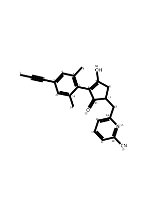 CC#Cc1cc(C)c(C2=C(O)CC(Cc3cccc(C#N)n3)C2=O)c(C)c1